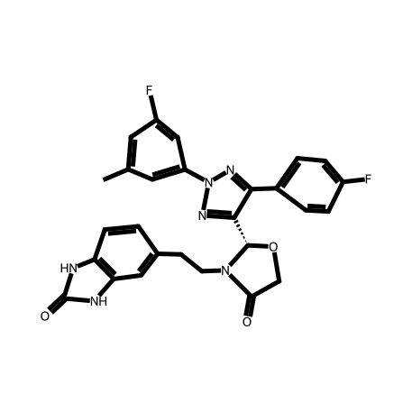 Cc1cc(F)cc(-n2nc(-c3ccc(F)cc3)c([C@@H]3OCC(=O)N3CCc3ccc4[nH]c(=O)[nH]c4c3)n2)c1